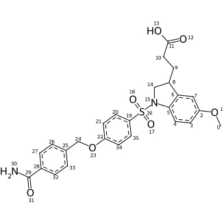 COc1ccc2c(c1)C(CCC(=O)O)CN2S(=O)(=O)c1ccc(OCc2ccc(C(N)=O)cc2)cc1